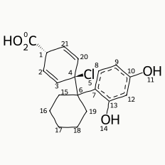 O=C(O)[C@H]1C=C[C@@](Cl)(C2(c3ccc(O)cc3O)CCCCC2)C=C1